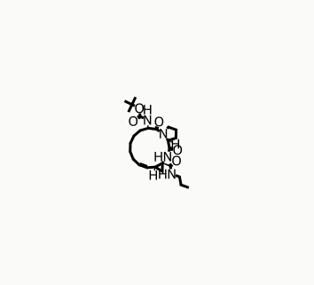 CCCNC(=O)[C@@]12C[C@H]1/C=C\CCCCC[C@H](NC(=O)OC(C)(C)C)C(=O)N1CCC[C@H]1C(=O)N2